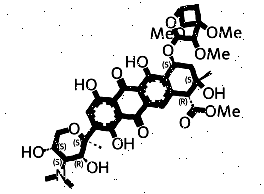 COC(=O)[C@@H]1c2cc3c(c(O)c2[C@@H](OC2OC4CC(OC)(C4OC)C2OC)C[C@]1(C)O)C(=O)c1c(O)cc([C@]2(C)OC[C@@H](O)[C@H](N(C)C)[C@H]2O)c(O)c1C3=O